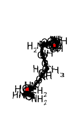 C=C(NCCOCCOCCNC(=O)OCCC(C)(C)SSCOCCCCOC(=O)NCC#Cc1cn([C@H]2CC(OCN=[N+]=[N-])[C@@H](COP(=O)(O)OP(=O)(O)OP(=O)(O)O)O2)c(=O)nc1N)c1ccc(C(=O)O)c(-c2c3ccc(=N)cc-3oc3cc(N)ccc23)c1